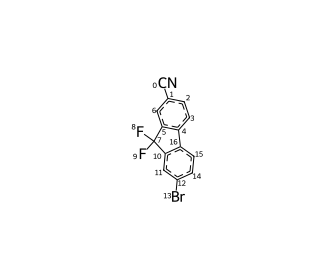 N#Cc1ccc2c(c1)C(F)(F)c1cc(Br)ccc1-2